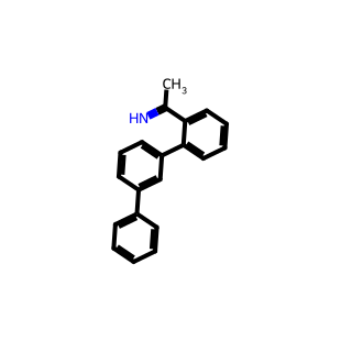 CC(=N)c1ccccc1-c1cccc(-c2ccccc2)c1